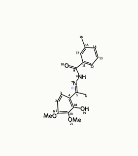 COc1ccc(/C(C)=N/NC(=O)c2cccc(C)c2)c(O)c1OC